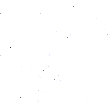 COC1=C\C=C\C=C(C(=O)Nc2ccc3c(c2)C2(COC(N)=N2)C2(CC2)CO3)/N=C\1